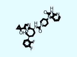 O=C(N[C@@H]1CC[C@@H](c2cccc(F)c2F)Cn2c(C3(O)CC3)cnc21)N1CCC(n2c(=O)[nH]c3ncccc32)CC1